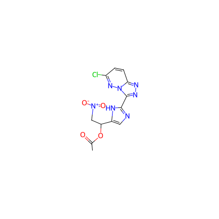 CC(=O)OC(C[N+](=O)[O-])c1cnc(-c2nnc3ccc(Cl)nn23)[nH]1